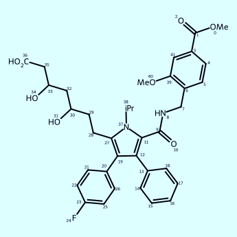 COC(=O)c1ccc(CNC(=O)c2c(-c3ccccc3)c(-c3ccc(F)cc3)c(CCC(O)CC(O)CC(=O)O)n2C(C)C)c(OC)c1